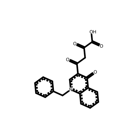 O=C(O)C(=O)CC(=O)c1cn(Cc2ccccc2)c2ccccc2c1=O